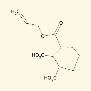 C=CCOC(=O)C1CCCC(C(=O)O)C1C(=O)O